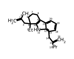 C=C(C)CC1(CC)CCCc2c1[nH]c1c(CC(=C)C(C)C)cccc21